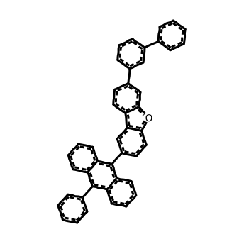 c1ccc(-c2cccc(-c3ccc4c(c3)oc3ccc(-c5c6ccccc6c(-c6ccccc6)c6ccccc56)cc34)c2)cc1